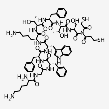 C[C@@H](O)[C@H](NC(=O)[C@H](CCCCN)NC(=O)[C@H](Cc1c[nH]c2ccccc12)NC(=O)[C@H](Cc1ccccc1)NC(=O)[C@H](Cc1ccccc1)NC(=O)CNC(=O)[C@@H](N)CCCCN)C(=O)N[C@@H](Cc1ccccc1)C(=O)N[C@H](C(=O)N[C@@H](CO)C(=O)N(C(=O)CS)C(=O)CCS)[C@@H](C)O